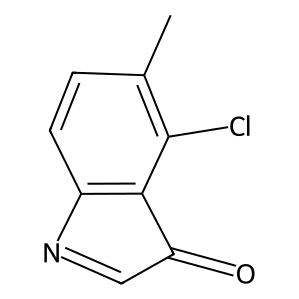 Cc1ccc2c(c1Cl)C(=O)C=N2